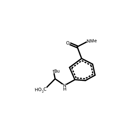 CNC(=O)c1cccc(NC(C(=O)O)C(C)(C)C)c1